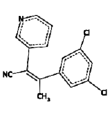 CC(=C(C#N)c1cccnc1)c1cc(Cl)cc(Cl)c1